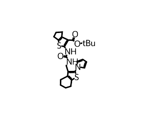 CC(C)(C)OC(=O)c1c(NC(=O)NCc2c(-n3cccc3)sc3c2CCCC3)sc2c1CCC2